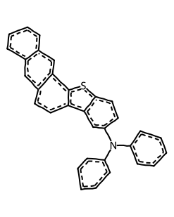 c1ccc(N(c2ccccc2)c2ccc3sc4c5cc6ccccc6cc5ccc4c3c2)cc1